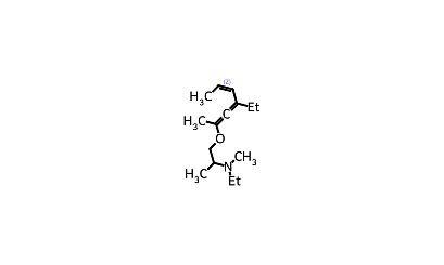 C/C=C\C(=C=C(C)OCC(C)N(C)CC)CC